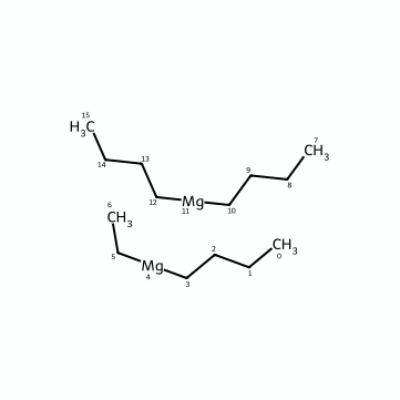 CCC[CH2][Mg][CH2]C.CCC[CH2][Mg][CH2]CCC